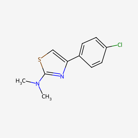 CN(C)c1nc(-c2ccc(Cl)cc2)cs1